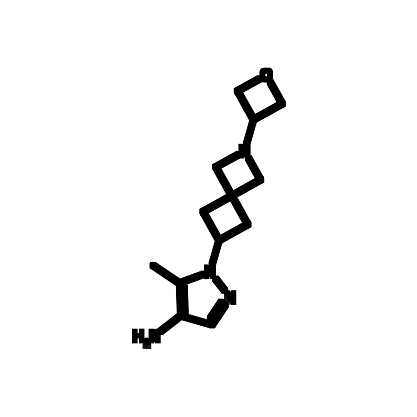 Cc1c(N)cnn1C1CC2(C1)CN(C1COC1)C2